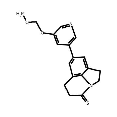 POCOc1cncc(-c2cc3c4c(c2)CCN4C(=S)CC3)c1